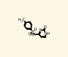 Cc1ccc(S(=O)(=O)Nc2cc[nH]c(=O)n2)cc1